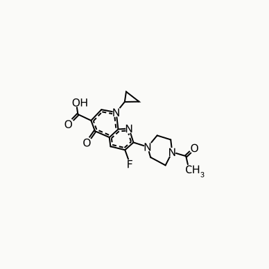 CC(=O)N1CCN(c2nc3c(cc2F)c(=O)c(C(=O)O)cn3C2CC2)CC1